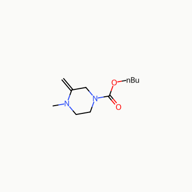 C=C1CN(C(=O)OCCCC)CCN1C